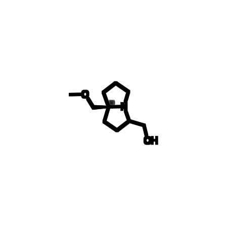 COC[C@@]12CCCN1C(CO)CC2